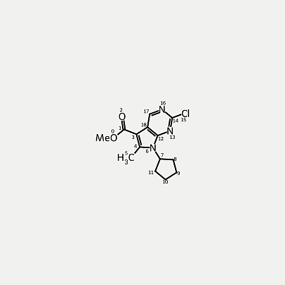 COC(=O)c1c(C)n(C2CCCC2)c2nc(Cl)ncc12